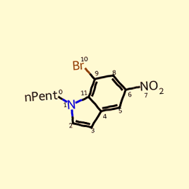 CCCCCn1ccc2cc([N+](=O)[O-])cc(Br)c21